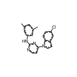 Cc1cc(C)cc(Nc2nccc(-n3ccc4cc(Cl)ccc43)n2)c1